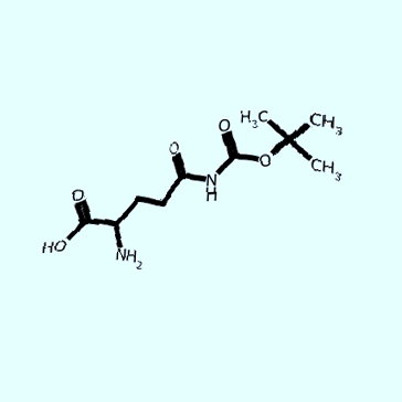 CC(C)(C)OC(=O)NC(=O)CCC(N)C(=O)O